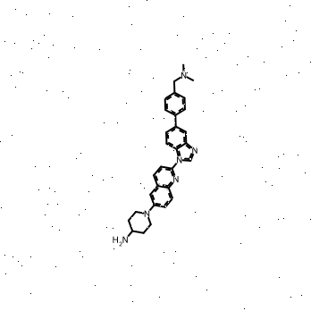 CN(C)Cc1ccc(-c2ccc3c(c2)ncn3-c2ccc3cc(N4CCC(N)CC4)ccc3n2)cc1